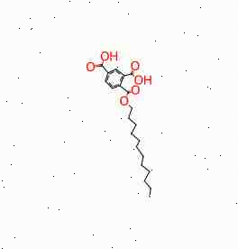 CCCCCCCCCCCCOC(=O)c1ccc(C(=O)O)cc1C(=O)O